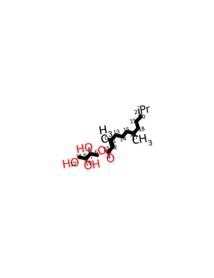 CC(=CC(=O)OCC(O)C(O)CO)CCCC(C)CCCC(C)C